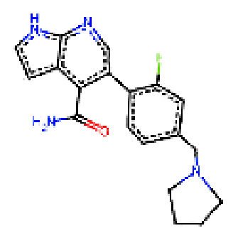 NC(=O)c1c(-c2ccc(CN3CCCC3)cc2F)cnc2[nH]c[c]c12